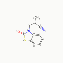 CC(C#N)Cn1c(=O)sc2ccccc21